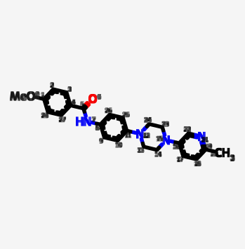 COc1ccc(C(=O)Nc2ccc(N3CCN(c4ccc(C)nc4)CC3)cc2)cc1